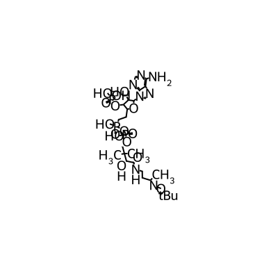 C/C(CCNC(=O)[C@@H](O)C(C)(C)COP(=O)(O)OP(=O)(O)CCC1OC(n2cnc3c(N)ncnc32)C(O)C1OP(=O)(O)O)=N\OC(C)(C)C